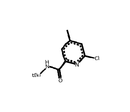 Cc1cc(Cl)nc(C(=O)NC(C)(C)C)c1